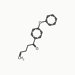 C=CCCC(=O)c1ccc(Oc2ccccc2)cc1